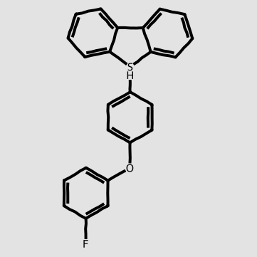 Fc1cccc(Oc2ccc([SH]3c4ccccc4-c4ccccc43)cc2)c1